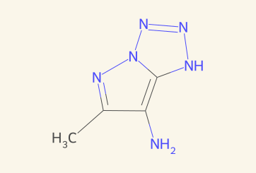 Cc1nn2nn[nH]c2c1N